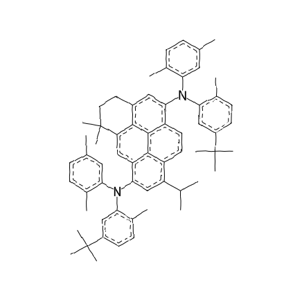 Cc1ccc(C)c(N(c2cc(C(C)(C)C)ccc2C)c2cc(C(C)C)c3ccc4c(N(c5cc(C)ccc5C)c5cc(C(C)(C)C)ccc5C)cc5c6c(cc2c3c46)C(C)(C)CC5)c1